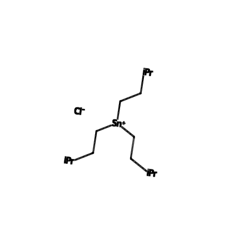 CC(C)C[CH2][Sn+]([CH2]CC(C)C)[CH2]CC(C)C.[Cl-]